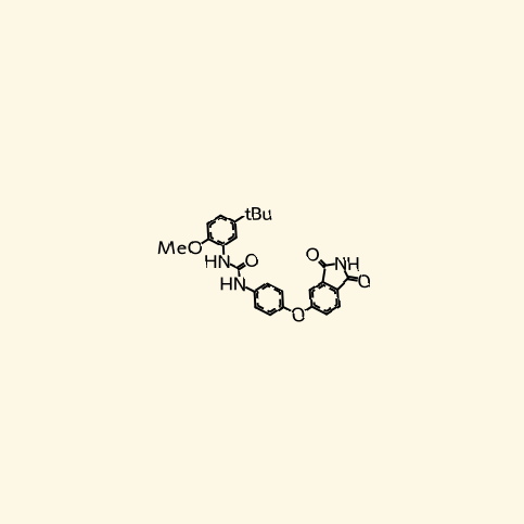 COc1ccc(C(C)(C)C)cc1NC(=O)Nc1ccc(Oc2ccc3c(c2)C(=O)NC3=O)cc1